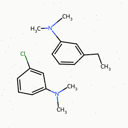 CCc1cccc(N(C)C)c1.CN(C)c1cccc(Cl)c1